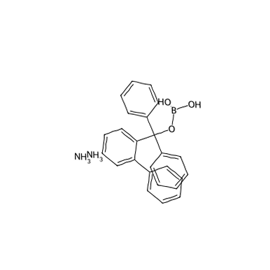 N.N.OB(O)OC(c1ccccc1)(c1ccccc1)c1ccccc1-c1ccccc1